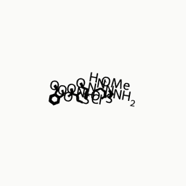 CON=C(C(=O)N[C@@H]1C(=O)N2C(C(=O)OC3OC(=O)c4ccccc43)=CCS[C@@H]12)c1nc(N)sc1Cl